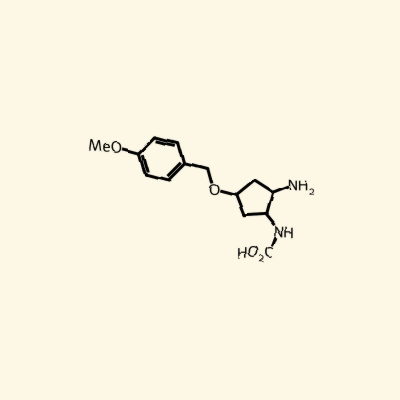 COc1ccc(COC2CC(N)C(NC(=O)O)C2)cc1